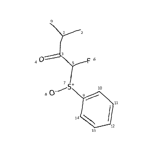 CC(C)C(=O)C(F)[S+]([O-])c1ccccc1